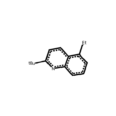 CCc1cccc2nc(C(C)(C)C)ccc12